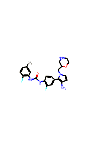 Nc1ccn(CC2CNCCO2)c1-c1ccc(NC(=O)Nc2cc(C(F)(F)F)ccc2F)c(F)c1